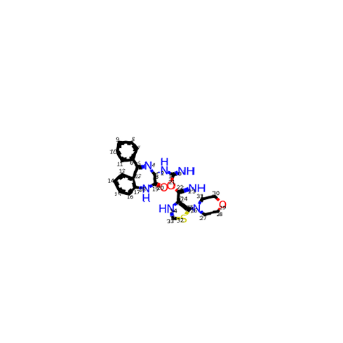 N=C(N[C@H]1N=C(c2ccccc2)c2ccccc2NC1=O)OC(=N)C1=C(N2CCOCC2)SCN1